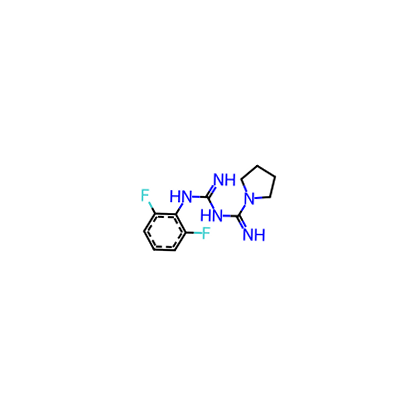 N=C(NC(=N)N1CCCC1)Nc1c(F)cccc1F